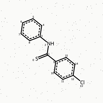 S=C(Nc1ccccc1)c1ccc(Cl)cc1